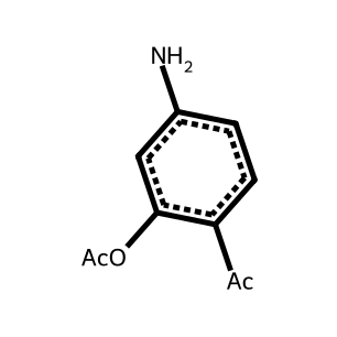 CC(=O)Oc1cc(N)ccc1C(C)=O